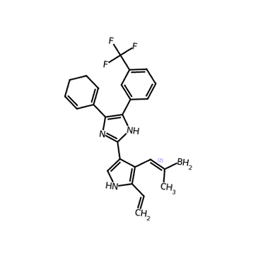 B/C(C)=C/c1c(-c2nc(C3=CCCC=C3)c(-c3cccc(C(F)(F)F)c3)[nH]2)c[nH]c1C=C